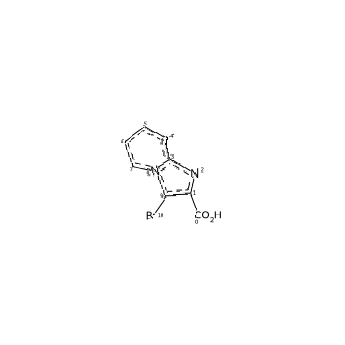 O=C(O)c1nc2ccccn2c1Br